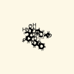 Cc1[nH]c(=O)c(Nc2cc3n(n2)CCN(C2COC2)C3)cc1-c1cc(F)cc(N2CCc3c(sc4c3CCCC4)C2=O)c1CO